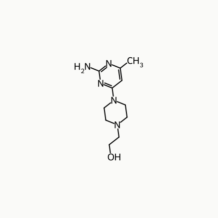 Cc1cc(N2CCN(CCO)CC2)nc(N)n1